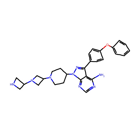 Nc1ncnc2c1c(-c1ccc(Oc3ccccc3)cc1)nn2C1CCN(C2CN(C3CNC3)C2)CC1